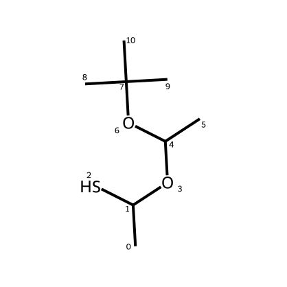 CC(S)OC(C)OC(C)(C)C